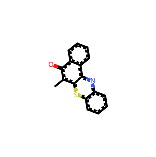 Cc1c2sc3ccccc3nc-2c2ccccc2c1=O